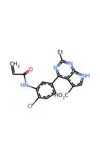 C=CC(=O)Nc1cc(-c2nc(CC)nc3[nH]cc(C(=O)O)c23)ccc1Cl